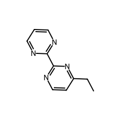 CCc1ccnc(-c2ncccn2)n1